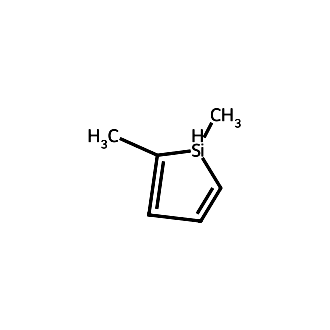 CC1=CC=C[SiH]1C